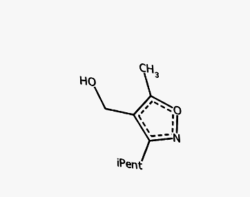 CCCC(C)c1noc(C)c1CO